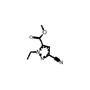 CCn1nc(C#N)cc1C(=O)OC